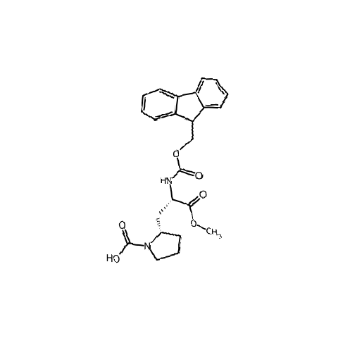 COC(=O)[C@H](C[C@@H]1CCCN1C(=O)O)NC(=O)OCC1c2ccccc2-c2ccccc21